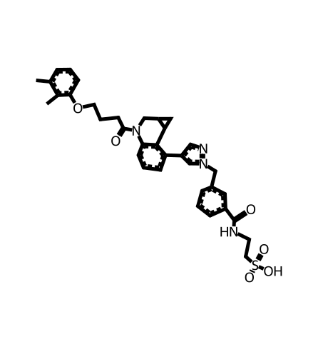 Cc1cccc(OCCCC(=O)N2CC3CC3c3c(-c4cnn(Cc5cccc(C(=O)NCCS(=O)(=O)O)c5)c4)cccc32)c1C